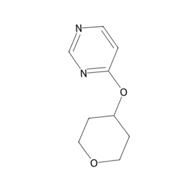 c1cc(OC2CCOCC2)ncn1